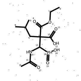 CCOC(=O)C(CC(C)C)(C(=O)O)C(NC(C)=O)[PH](=O)O